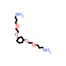 NCCCOCCOC1CCC[C@H](OCCOCCCN)C1